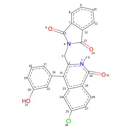 Cn1c(CN2C(=O)c3ccccc3C2=O)c(-c2cccc(O)c2)c2cc(Cl)ccc2c1=O